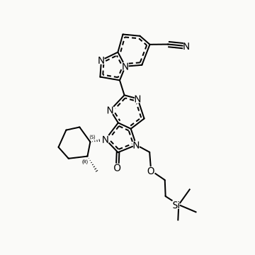 C[C@@H]1CCCC[C@@H]1n1c(=O)n(COCC[Si](C)(C)C)c2cnc(-c3cnc4ccc(C#N)cn34)nc21